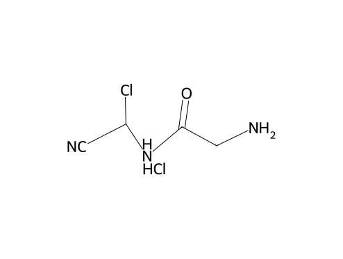 Cl.N#CC(Cl)NC(=O)CN